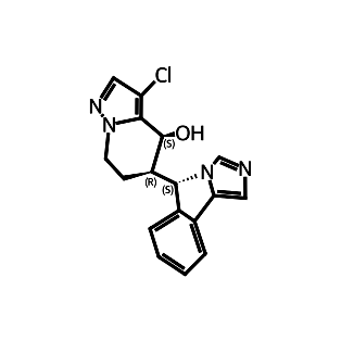 O[C@@H]1c2c(Cl)cnn2CC[C@@H]1[C@H]1c2ccccc2-c2cncn21